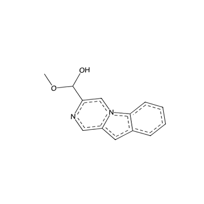 COC(O)c1cn2c(cn1)cc1ccccc12